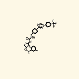 Cc1ccc(N2C(=O)CSC2=NC(=O)NCc2ccc(-c3ncn(-c4ccc(C(F)(F)F)cc4)n3)cc2)c(C(C)C)c1